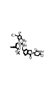 C=C(COc1cc(Cl)c(OC)cc1NC(=O)NCc1ccc2c(c1)CN(C1CCC(=O)NC1=O)C2=O)C(=O)OC(C)(C)C